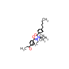 C=CCCCc1ccc(C(=O)N(N(CC)C(=O)c2ccc(C(=O)CC)cc2)C(C)(C)C)cc1